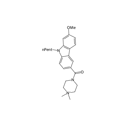 CCCCCn1c2ccc(C(=O)N3CC[N+](C)(C)CC3)cc2c2ccc(OC)cc21